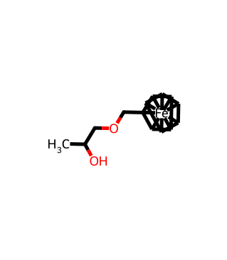 CC(O)COC[C]12[CH]3[CH]4[CH]5[CH]1[Fe]45321678[CH]2[CH]1[CH]6[CH]7[CH]28